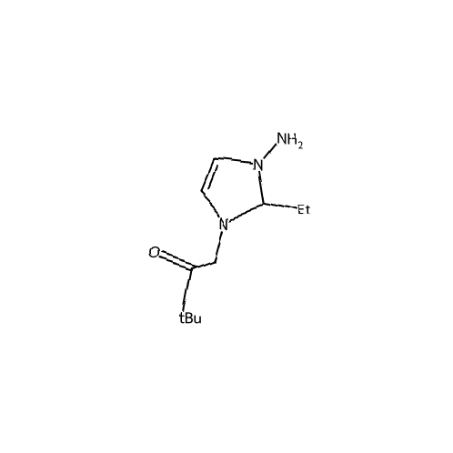 CCC1N(N)C=CN1CC(=O)C(C)(C)C